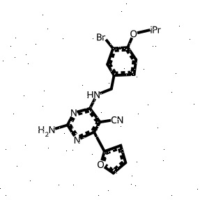 CC(C)Oc1ccc(CNc2nc(N)nc(-c3ccco3)c2C#N)cc1Br